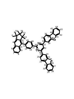 CC1(C)c2cc3ccccc3c(-c3ccc(-c4nc(-c5ccc6c(c5)sc5ccccc56)cc(-c5ccc6c(c5)sc5ccccc56)n4)cc3)c2C(C)(C)C1(C)C